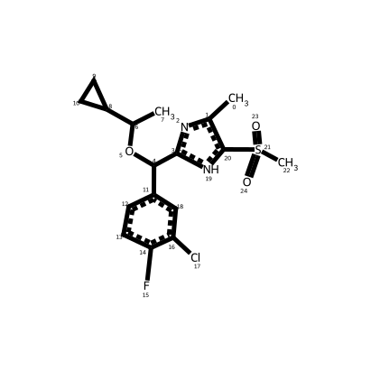 Cc1nc(C(OC(C)C2CC2)c2ccc(F)c(Cl)c2)[nH]c1S(C)(=O)=O